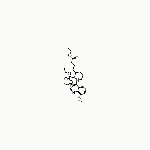 CCOC(=O)CCCC1CCCN(c2ncnc3c(OC)cccc23)C1P(=O)(OCC)OCC